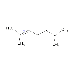 [CH2]/C(C)=C/CCC(C)C